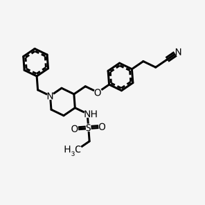 CCS(=O)(=O)NC1CCN(Cc2ccccc2)CC1COc1ccc(CCC#N)cc1